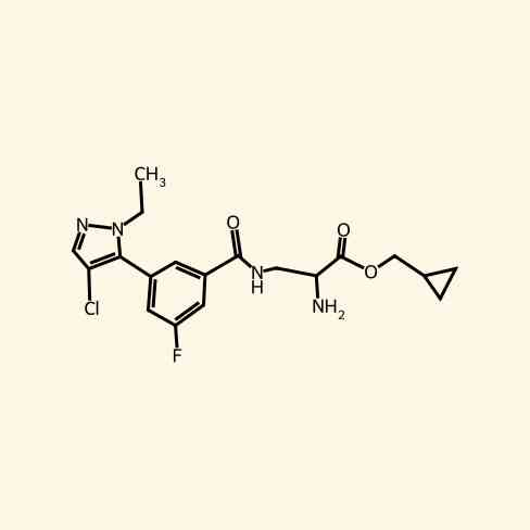 CCn1ncc(Cl)c1-c1cc(F)cc(C(=O)NCC(N)C(=O)OCC2CC2)c1